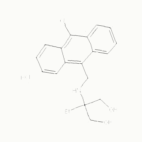 CCC(CO)(CO)NCc1c2ccccc2c(Cl)c2ccccc12.Cl